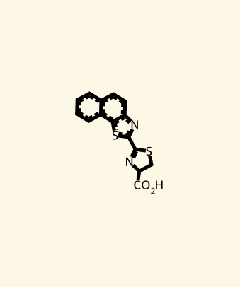 O=C(O)C1CSC(c2nc3ccc4ccccc4c3s2)=N1